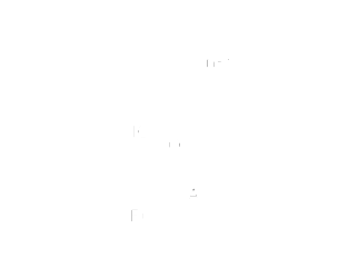 CCCC[O][Al][CH2]C.Cl